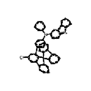 Clc1cc(-c2ccc(N(c3ccccc3)c3ccc4sc5ccccc5c4c3)cc2)c2c(c1)-c1ccccc1C21c2ccccc2-c2ccccc21